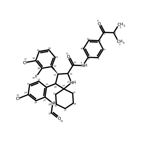 CC(C)C(=O)c1ccc(NC(=O)C2NC3(CCCCC3)C(c3ccc(Cl)cc3NC=O)[C@H]2c2cccc(Cl)c2F)cc1